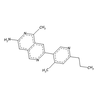 CCCc1cc(C)c(-c2cc3c(C)nc(N)cc3cn2)cn1